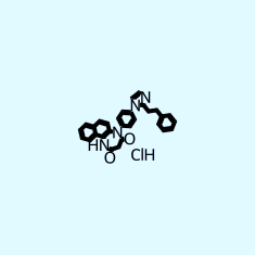 Cl.O=C1CC(=O)N(c2ccc(-n3ccnc3CCc3ccccc3)cc2)c2ccc3ccccc3c2N1